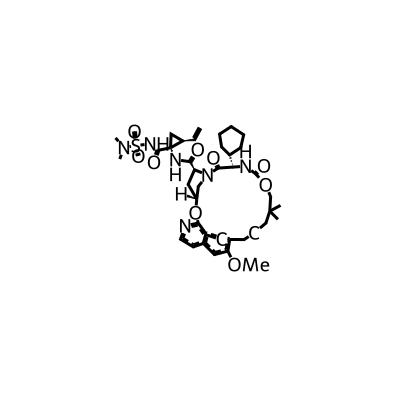 C=C[C@@H]1C[C@]1(NC(=O)[C@@H]1C[C@@H]2CN1C(=O)[C@H](C1CCCCC1)NC(=O)OCC(C)(C)CCCc1cc3c(nccc3cc1OC)O2)C(=O)NS(=O)(=O)N(C)C